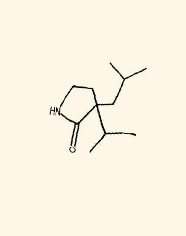 CC(C)CC1(C(C)C)CCNC1=O